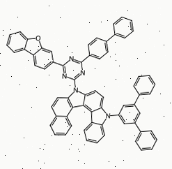 c1ccc(-c2ccc(-c3nc(-c4ccc5c(c4)oc4ccccc45)nc(-n4c5ccc6ccccc6c5c5c6c7ccccc7n(-c7cc(-c8ccccc8)cc(-c8ccccc8)c7)c6ccc54)n3)cc2)cc1